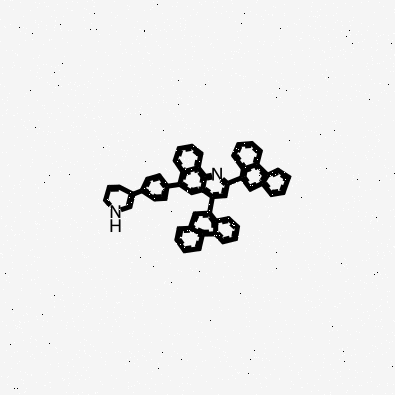 C1=CC(c2ccc(-c3cc4c(-c5cc6ccccc6c6ccccc56)cc(-c5cc6ccccc6c6ccccc56)nc4c4ccccc34)cc2)=CNC1